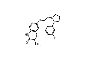 CC1Oc2cc(OCCN3CCCC3c3cccc(F)c3)ccc2NC1=O